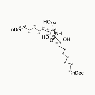 CCCCCCCCCCCCCCCCC[C@@H](O)C(=O)N[C@@H](CO)[C@H](O)CCCCCCCCCCCCCCC